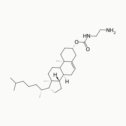 CC(C)CCC[C@@H](C)[C@H]1CC[C@H]2[C@@H]3CC=C4C[C@@H](OC(=O)NCCN)CC[C@]4(C)C3CC[C@]12C